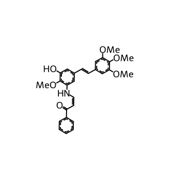 COc1cc(/C=C/c2cc(O)c(OC)c(N/C=C\C(=O)c3ccccc3)c2)cc(OC)c1OC